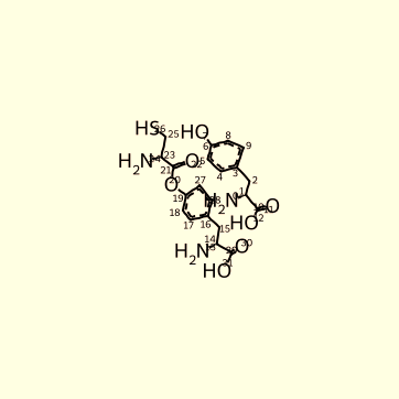 N[C@@H](Cc1ccc(O)cc1)C(=O)O.N[C@@H](Cc1ccc(OC(=O)[C@@H](N)CS)cc1)C(=O)O